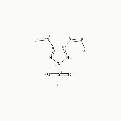 C=Nc1nn(S(C)(=O)=O)nc1/C=C\C